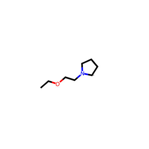 CCOCCN1[CH]CCC1